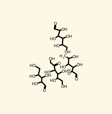 CC(O)C(O)C(O)C(O)C=O.O=C(CO)C(O)C(O)C(O)CO.O=CC(O)C(O)C(O)C(O)CO.O=CC(O)C(O)C(O)CO